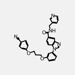 N#Cc1ccc(OCCCOc2cccc(-n3cnc4cc(C(=O)NCc5cccnc5)ccc43)c2)cc1